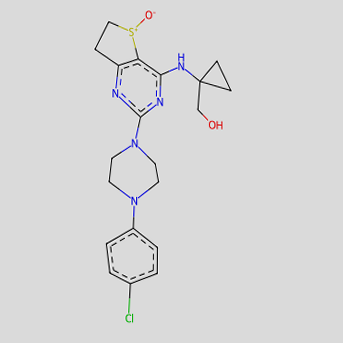 [O-][S+]1CCc2nc(N3CCN(c4ccc(Cl)cc4)CC3)nc(NC3(CO)CC3)c21